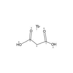 O=C(O)CC(=O)O.[Tb]